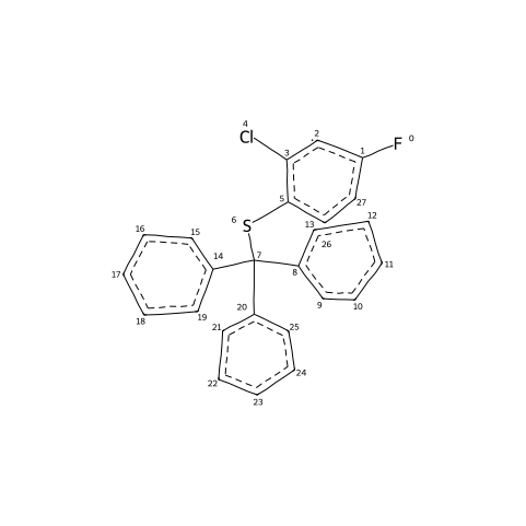 Fc1[c]c(Cl)c(SC(c2ccccc2)(c2ccccc2)c2ccccc2)cc1